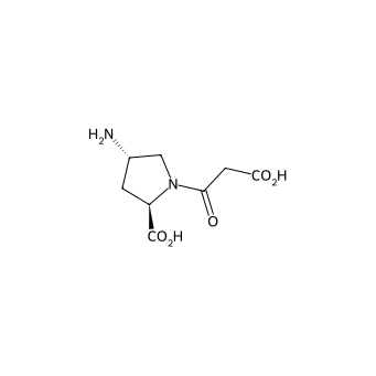 N[C@H]1C[C@H](C(=O)O)N(C(=O)CC(=O)O)C1